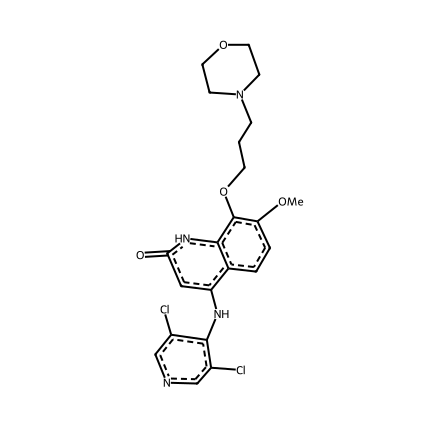 COc1ccc2c(Nc3c(Cl)cncc3Cl)cc(=O)[nH]c2c1OCCCN1CCOCC1